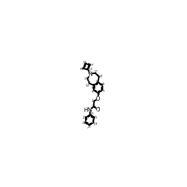 O=C(COc1ccc2c(c1)CCN(C1=CC=C1)CC2)Nc1ccccc1